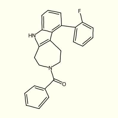 O=C(c1ccccc1)N1CCc2[nH]c3cccc(-c4ccccc4F)c3c2CC1